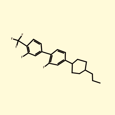 CCCC1CCC(c2ccc(-c3ccc(C(F)(F)F)c(F)c3)c(F)c2)CC1